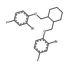 Fc1ccc(OCC2CCCCC2COc2ccc(F)cc2Br)c(Br)c1